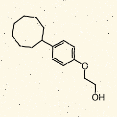 OCCOc1ccc(C2CCCCCCC2)cc1